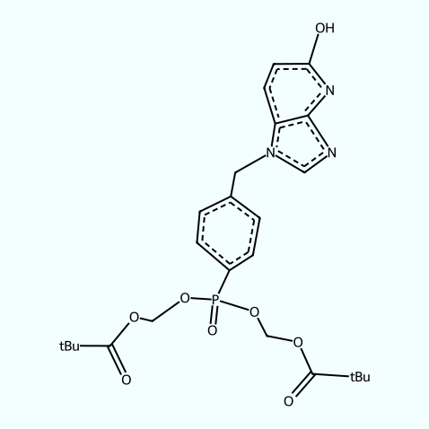 CC(C)(C)C(=O)OCOP(=O)(OCOC(=O)C(C)(C)C)c1ccc(Cn2cnc3nc(O)ccc32)cc1